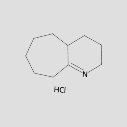 C1CCC2=NCCCC2CC1.Cl